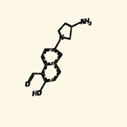 NC1CCN(c2ccc3c(C=O)c(O)ccc3c2)C1